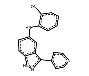 O=Nc1ccccc1Nc1ccc2[nH]nc(-c3ccncc3)c2c1